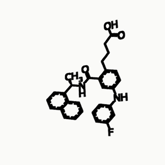 C[C@@H](NC(=O)c1cc(Nc2cccc(F)c2)ccc1CCCC(=O)O)c1cccc2ccccc12